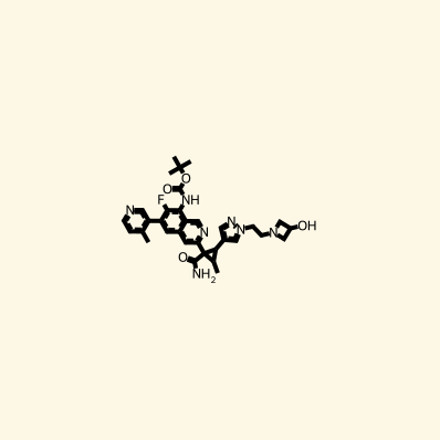 Cc1ccncc1-c1cc2cc(C3(C(N)=O)C(C)C3c3cnn(CCN4CC(O)C4)c3)ncc2c(NC(=O)OC(C)(C)C)c1F